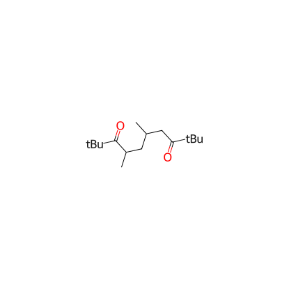 CC(CC(=O)C(C)(C)C)CC(C)C(=O)C(C)(C)C